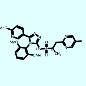 COc1ccc(-c2nnc(NS(=O)(=O)[C@H](C)Cc3ncc(F)cn3)n2-c2c(OC)cccc2OC)cn1